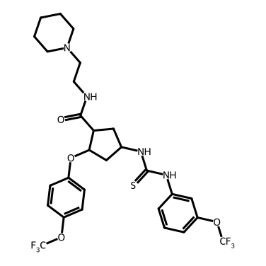 O=C(NCCN1CCCCC1)C1CC(NC(=S)Nc2cccc(OC(F)(F)F)c2)CC1Oc1ccc(OC(F)(F)F)cc1